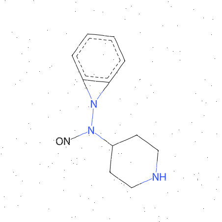 O=NN(C1CCNCC1)N1c2ccccc21